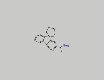 C=NC(C)c1ccc2c(c1)C1(CCCCC1)c1ccccc1-2